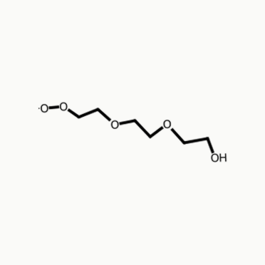 [O]OCCOCCOCCO